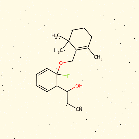 CC1=C(COC2(F)C=CC=CC2C(O)CC#N)C(C)(C)CCC1